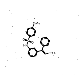 COc1ccc(S(=O)(=O)Nc2cccc(C(=CC(=O)O)c3ccccc3)c2)cc1